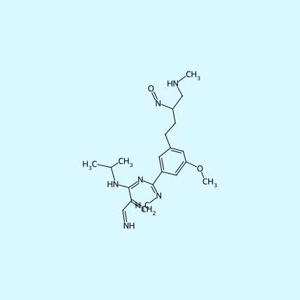 C=C(C=N)/C(=N\C(=N/C)c1cc(CCC(CNC)N=O)cc(OC)c1)NC(C)C